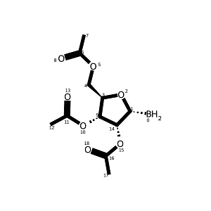 B[C@H]1O[C@H](COC(C)=O)[C@@H](OC(C)=O)[C@H]1OC(C)=O